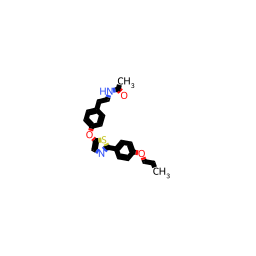 CCCOc1ccc(-c2ncc(Oc3ccc(CCNC(C)=O)cc3)s2)cc1